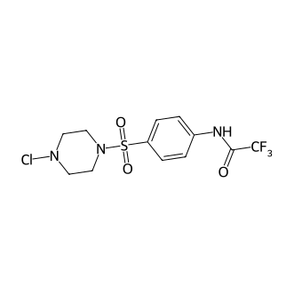 O=C(Nc1ccc(S(=O)(=O)N2CCN(Cl)CC2)cc1)C(F)(F)F